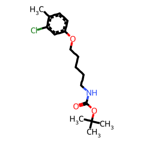 Cc1ccc(OCCCCCNC(=O)OC(C)(C)C)cc1Cl